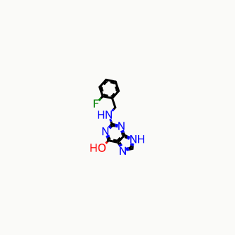 Oc1nc(NCc2ccccc2F)nc2[nH]cnc12